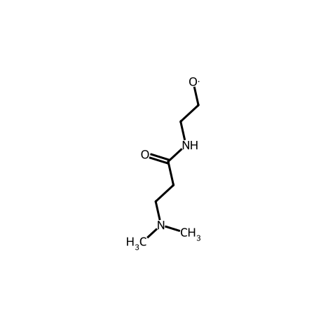 CN(C)CCC(=O)NCC[O]